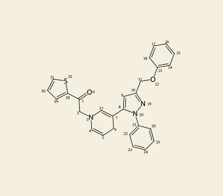 O=C(CN1C=CCC(c2cc(COc3ccccc3)nn2-c2ccccc2)=C1)c1cccs1